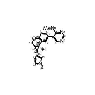 CNc1ncncc1-c1ccc2c(c1)[C@@H]1[C@H](CO2)[C@H]1c1cn(C)cn1